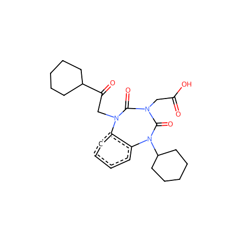 O=C(O)CN1C(=O)N(CC(=O)C2CCCCC2)c2ccccc2N(C2CCCCC2)C1=O